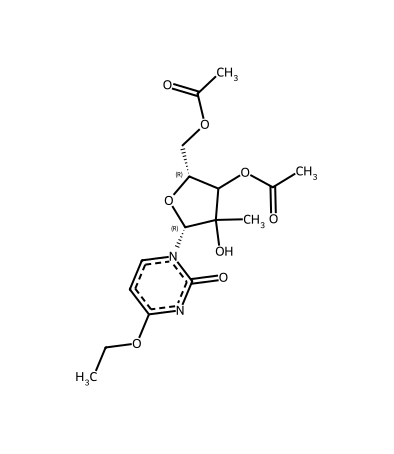 CCOc1ccn([C@@H]2O[C@H](COC(C)=O)C(OC(C)=O)C2(C)O)c(=O)n1